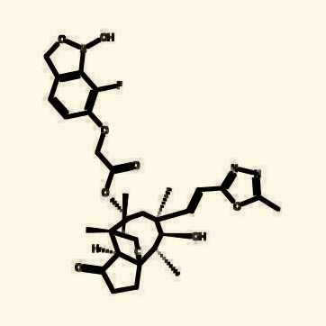 Cc1nnc(/C=C/[C@]2(C)C[C@@H](OC(=O)COc3ccc4c(c3F)B(O)OC4)[C@]3(C)[C@H](C)CC[C@]4(CCC(=O)[C@H]43)[C@@H](C)[C@@H]2O)o1